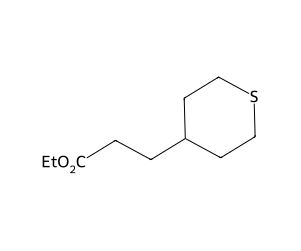 CCOC(=O)CCC1CCSCC1